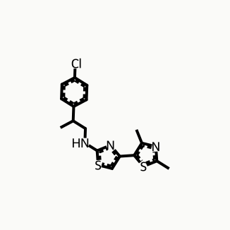 Cc1nc(C)c(-c2csc(NCC(C)c3ccc(Cl)cc3)n2)s1